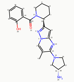 Cc1cn2nc([C@@H]3CCCCN3C(=O)c3ccccc3O)cc2nc1N1CC[C@H](N)C1